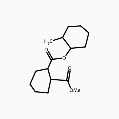 COC(=O)C1CCCCC1C(=O)OC1CCCCC1C